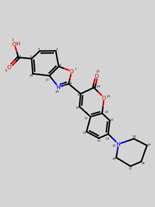 O=C(O)c1ccc2oc(-c3cc4ccc(N5CCCCC5)cc4oc3=O)nc2c1